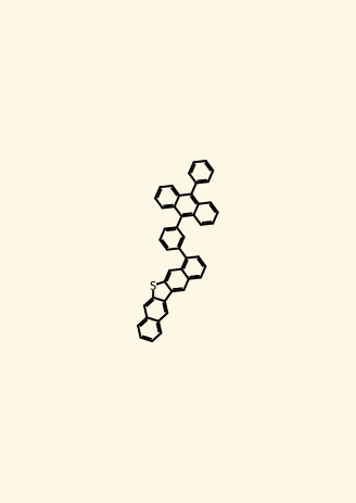 c1ccc(-c2c3ccccc3c(-c3cccc(-c4cccc5cc6c(cc45)sc4cc5ccccc5cc46)c3)c3ccccc23)cc1